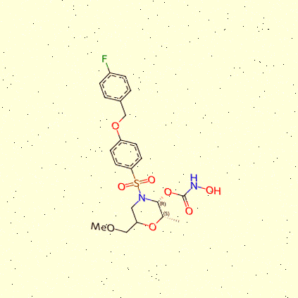 COCC1CN(S(=O)(=O)c2ccc(OCc3ccc(F)cc3)cc2)[C@H](OC(=O)NO)[C@H](C)O1